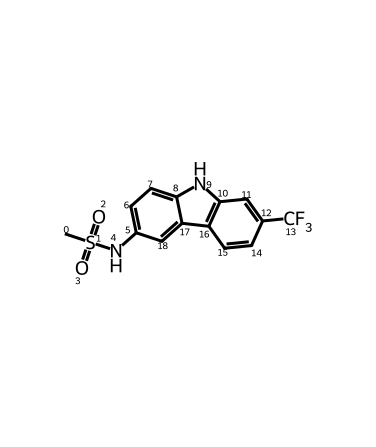 CS(=O)(=O)Nc1ccc2[nH]c3cc(C(F)(F)F)ccc3c2c1